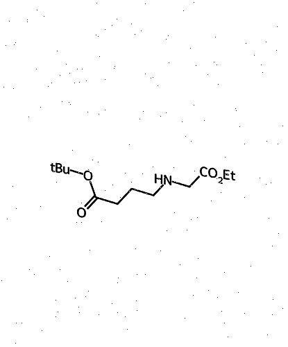 CCOC(=O)CNCCCC(=O)OC(C)(C)C